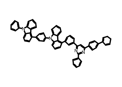 C1=CC(c2ccc(-c3cc(-c4cccc(-c5cccc6c5c5ccccc5n6-c5ccc(-c6cccc7c6c6ccccc6n7-c6ccccc6)cc5)c4)nc(-c4ccccc4)n3)cc2)=CCC1